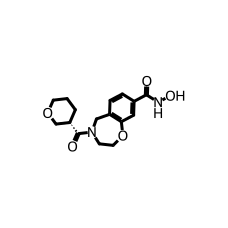 O=C(NO)c1ccc2c(c1)OCCN(C(=O)[C@H]1CCCOC1)C2